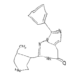 CC1CNCC1c1nn2c(-c3ccccc3)ncc2c(=O)[nH]1